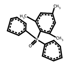 Cc1cc(C)c(P(=O)(c2ccccc2)c2ccccc2)c(C)c1